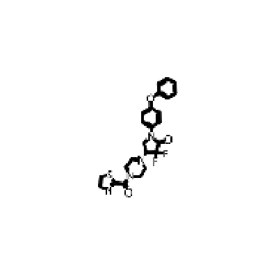 O=C(c1nccs1)N1CCN(C2CN(c3ccc(Oc4ccccc4)cc3)C(=O)C2(F)F)CC1